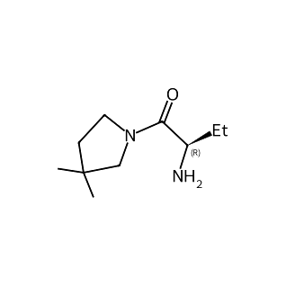 CC[C@@H](N)C(=O)N1CCC(C)(C)C1